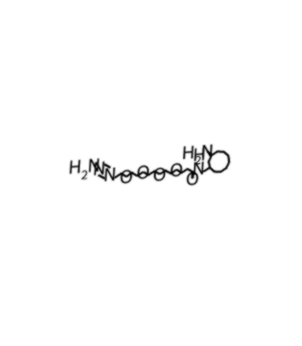 NC1CCCCCCCC(CNC(=O)CCOCCOCCOCCOCCN2CCN(N)CC2)C1